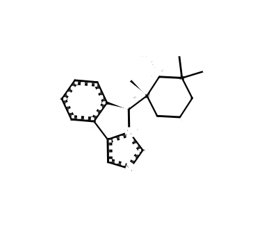 CC1(C)CCC[C@](C)([C@@H]2c3ccccc3-c3cncn32)[C@@H]1O